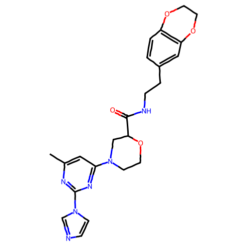 Cc1cc(N2CCOC(C(=O)NCCc3ccc4c(c3)OCCO4)C2)nc(-n2ccnc2)n1